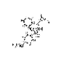 C[C@H]1C[C@@H]1[C@H](NS(=O)(=O)c1ccc(OC(F)(F)F)cc1)c1ccccc1